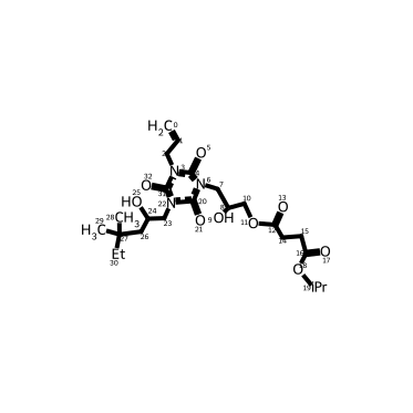 C=CCn1c(=O)n(CC(O)COC(=O)CCC(=O)OC(C)C)c(=O)n(CC(O)CC(C)(C)CC)c1=O